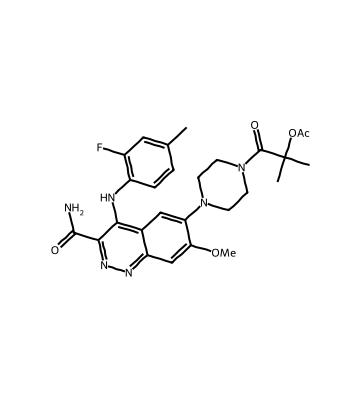 COc1cc2nnc(C(N)=O)c(Nc3ccc(C)cc3F)c2cc1N1CCN(C(=O)C(C)(C)OC(C)=O)CC1